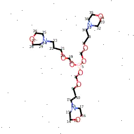 C(COCOB(OCOCCCN1CCOCC1)OCOCCCN1CCOCC1)CN1CCOCC1